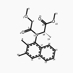 COCC(=O)N(c1c(C)c(C)cc2ccccc12)[C@@H](C)C(=O)OC